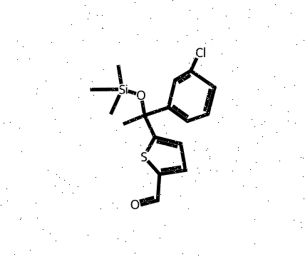 CC(O[Si](C)(C)C)(c1cccc(Cl)c1)c1ccc(C=O)s1